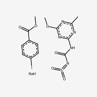 COC(=O)c1ccc(I)cc1.COc1nc(C)nc(NC(=O)N=S(=O)=O)n1.[NaH]